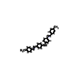 Cc1ccc(/C=N/c2ccc(Nc3ccc(/N=C/c4ccc(C)cc4)cc3)cc2)cc1